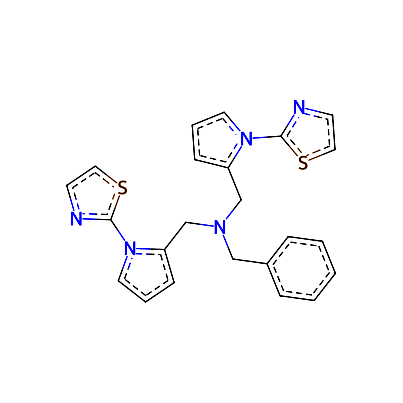 c1ccc(CN(Cc2cccn2-c2nccs2)Cc2cccn2-c2nccs2)cc1